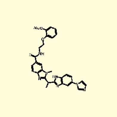 COc1ccccc1OCCNC(=O)c1ccc2nc(C(C)c3nc4cc(-n5ccnc5)ccc4[nH]3)n(C)c2c1